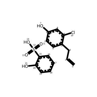 C=CCc1ccc(O)cc1Cl.O=S(=O)(O)c1ccccc1O